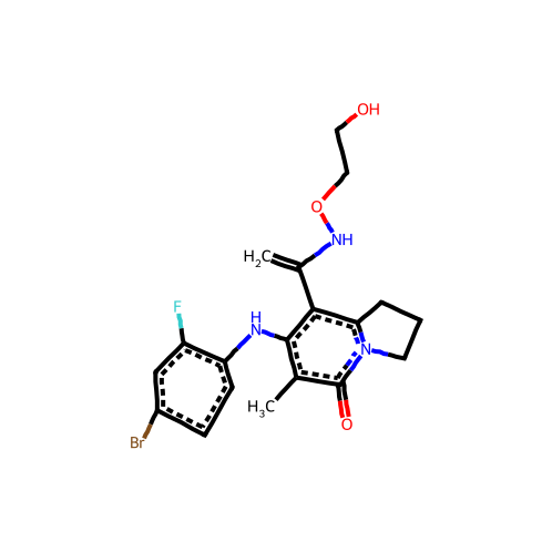 C=C(NOCCO)c1c(Nc2ccc(Br)cc2F)c(C)c(=O)n2c1CCC2